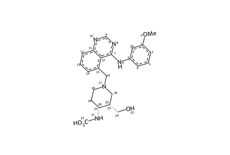 COc1cccc(Nc2ncnc3cccc(CN4CC[C@@H](NC(=O)O)[C@@H](CO)C4)c23)c1